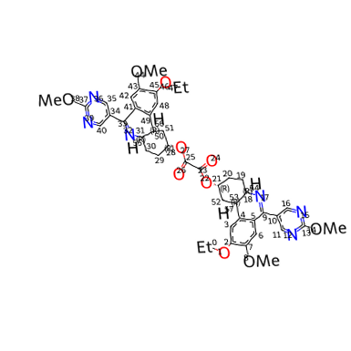 CCOc1cc2c(cc1OC)C(c1cnc(OC)nc1)=N[C@@H]1CC[C@@H](OC(=O)C(=O)O[C@@H]3CC[C@H]4N=C(c5cnc(OC)nc5)c5cc(OC)c(OCC)cc5[C@H]4C3)C[C@H]21